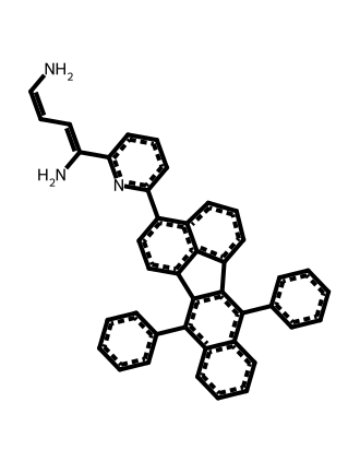 N/C=C\C=C(/N)c1cccc(-c2ccc3c4c(cccc24)-c2c-3c(-c3ccccc3)c3ccccc3c2-c2ccccc2)n1